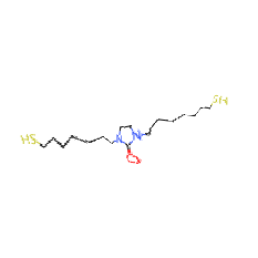 O=C1N(CCCCCCCS)CCN1CCCCCCCS